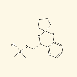 CC(C)(C)[Si](C)(C)OC[C@@H]1OC2(CCCC2)Oc2ccccc21